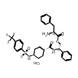 Cl.N[C@@H](Cc1ccccc1)C(=O)OC[C@@H](NC(=O)[C@H]1CC[C@H](NS(=O)(=O)c2ccc(C(F)(F)F)cc2)CC1)c1ccccc1